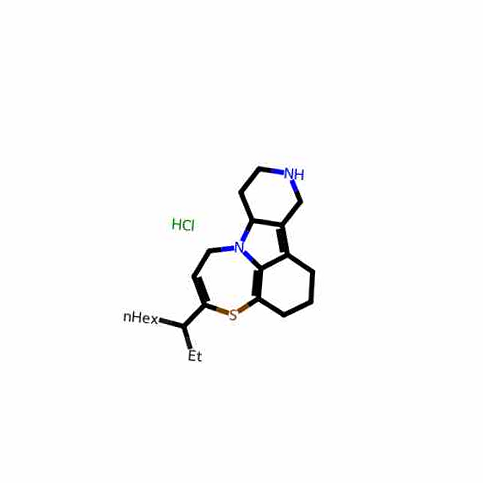 CCCCCCC(CC)C1=CCN2C3=C(CCCC3=C3CNCCC32)S1.Cl